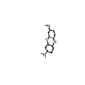 C/N=c1/ccc2nc3ccc(N(C)C)cc3sc-2c1